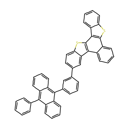 c1ccc(-c2c3ccccc3c(-c3cccc(-c4ccc5sc6c(c5c4)c4ccccc4c4sc5ccccc5c46)c3)c3ccccc23)cc1